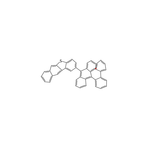 c1ccc(-c2ccccc2-c2c3ccccc3c(-c3ccc4sc5cc6ccccc6cc5c4c3)c3ccccc23)cc1